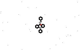 S=C(SCc1ccccc1)c1ccccc1N(c1ccccc1)c1ccccc1